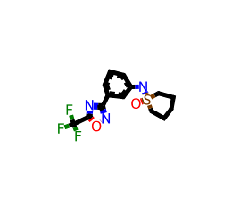 O=S1(=Nc2cccc(-c3noc(C(F)(F)F)n3)c2)CCCCC1